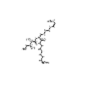 CCCCCCCC/C=C\CCCCCC(CC(=O)C(O)C(O)CO)C(=O)CCCCCCCCCCCCCCCCC